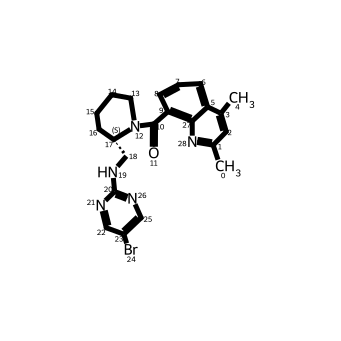 Cc1cc(C)c2cccc(C(=O)N3CCCC[C@H]3CNc3ncc(Br)cn3)c2n1